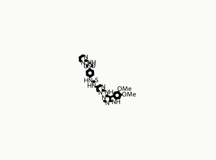 COc1cc2c(cc1OC)C1C(Nc3ncc(NC(=S)Nc4ccc(S(=O)(=O)Nc5ncccn5)cc4)cn3)=NC=NC1N2